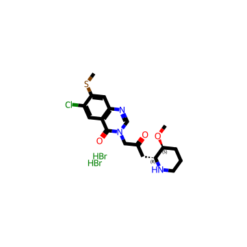 Br.Br.CO[C@H]1CCCN[C@@H]1CC(=O)Cn1cnc2cc(SC)c(Cl)cc2c1=O